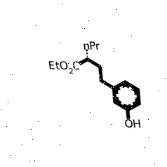 CCC[C@H](CCc1cccc(O)c1)C(=O)OCC